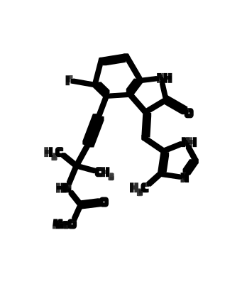 COC(=O)NC(C)(C)C#Cc1c(F)ccc2c1/C(=C/c1[nH]cnc1C)C(=O)N2